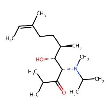 C/C=C(/C)CC[C@@H](C)[C@@H](O)[C@@H](C(=O)C(C)C)N(C)C(C)C